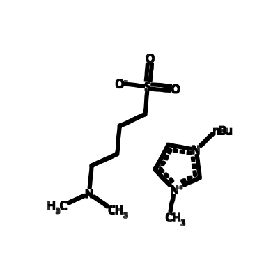 CCCCn1cc[n+](C)c1.CN(C)CCCCS(=O)(=O)[O-]